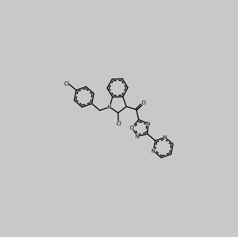 O=C(c1nc(-c2ncccn2)no1)C1c2ccccc2N(Cc2ccc(Cl)cc2)C1Cl